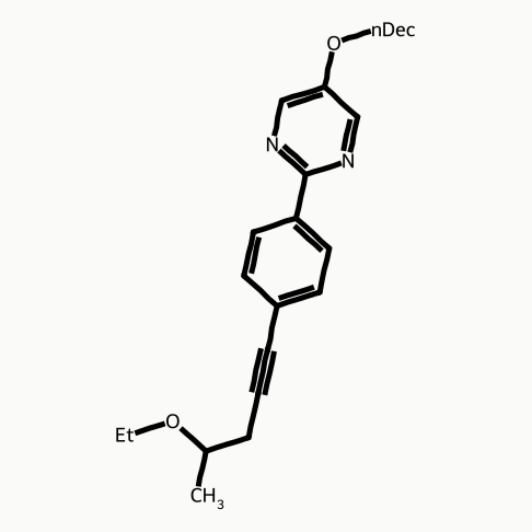 CCCCCCCCCCOc1cnc(-c2ccc(C#CCC(C)OCC)cc2)nc1